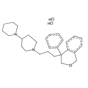 Cl.Cl.c1ccc(C2(CCCN3CCC(N4CCCCC4)CC3)COCc3ccccc32)cc1